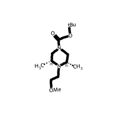 COCCN1[C@H](C)CN(C(=O)OC(C)(C)C)C[C@@H]1C